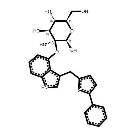 OC[C@H]1O[C@@H](O)[C@@](O)(Oc2cccc3[nH]cc(Cc4ccc(-c5ccccc5)s4)c23)[C@@H](O)[C@@H]1O